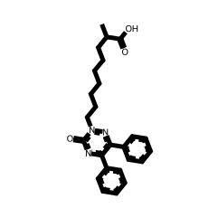 CC(CCCCCCCn1nc(-c2ccccc2)c(-c2ccccc2)nc1=O)C(=O)O